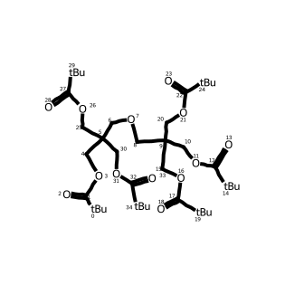 CC(C)(C)C(=O)OCC(COCC(COC(=O)C(C)(C)C)(COC(=O)C(C)(C)C)COC(=O)C(C)(C)C)(COC(=O)C(C)(C)C)COC(=O)C(C)(C)C